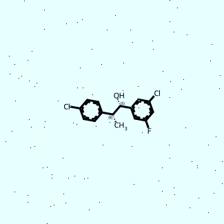 C[C@H](c1ccc(Cl)cc1)[C@H](O)c1cc(F)cc(Cl)c1